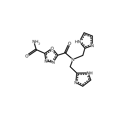 NC(=O)c1nnc(C(=O)N(Cc2ncc[nH]2)Cc2ncc[nH]2)o1